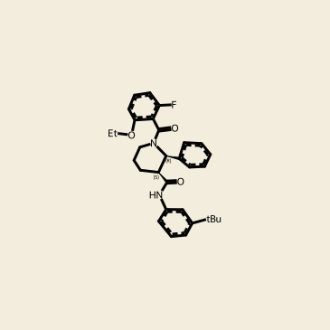 CCOc1cccc(F)c1C(=O)N1CCC[C@H](C(=O)Nc2cccc(C(C)(C)C)c2)[C@@H]1c1ccccc1